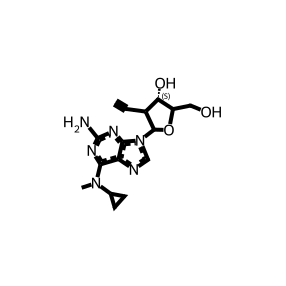 C#CC1C(n2cnc3c(N(C)C4CC4)nc(N)nc32)OC(CO)[C@H]1O